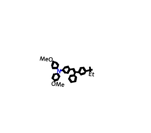 CCC(C)(C)c1ccc(/C(=C/c2ccc(N(c3ccc(OC)cc3)c3ccc(OC)cc3)cc2)c2ccccc2)cc1